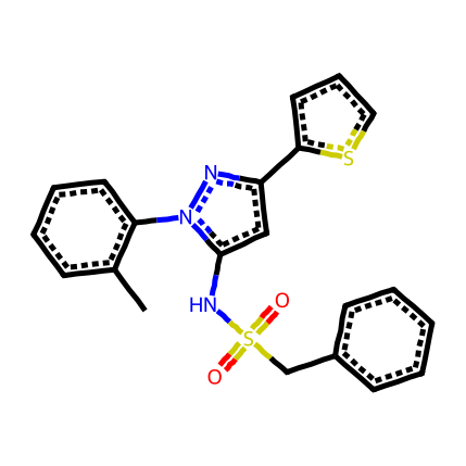 Cc1ccccc1-n1nc(-c2cccs2)cc1NS(=O)(=O)Cc1ccccc1